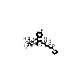 CC(C)c1nc(N(C)S(C)(=O)=O)nc(-c2ccc(F)cc2)c1/C=C/[C@@H](O)C[C@@H](O)CC(=O)N1CCCC1